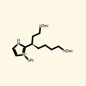 CCCCCCCCCCCCCC[C@H](CCCCCCCCCCCC)c1[nH]cc[n+]1CCC